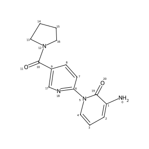 Nc1cccn(-c2ccc(C(=O)N3CCCC3)cn2)c1=O